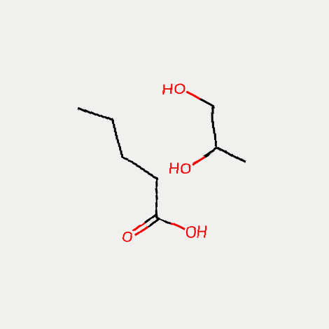 CC(O)CO.CCCCC(=O)O